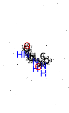 Cc1cccc2c1C(=CNc1ccc(NC3CCOCC3)cc1)C(=O)N2